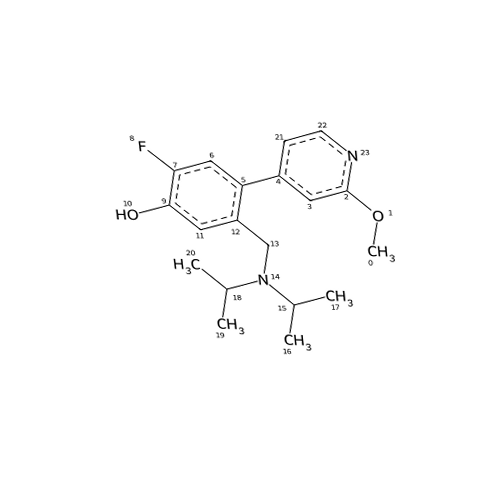 COc1cc(-c2cc(F)c(O)cc2CN(C(C)C)C(C)C)ccn1